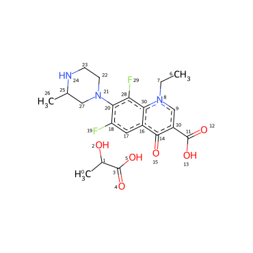 CC(O)C(=O)O.CCn1cc(C(=O)O)c(=O)c2cc(F)c(N3CCNC(C)C3)c(F)c21